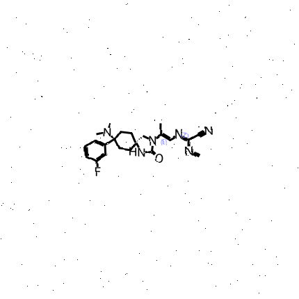 C=N/C(C#N)=N\C=C(/C)N1C[C@]2(CC[C@](c3cccc(F)c3)(N(C)C)CC2)NC1=O